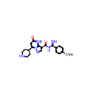 COc1ccc(C(=N)NC(=O)c2cnn3c(C4CCNCC4)cc(=O)[nH]c23)cc1